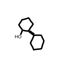 OC1CCCCC1=C1CCCCC1